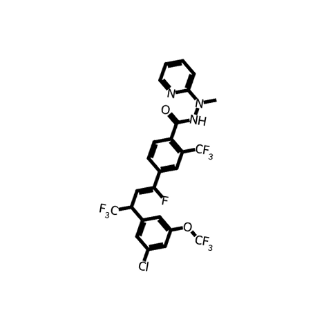 CN(NC(=O)c1ccc(C(F)=CC(c2cc(Cl)cc(OC(F)(F)F)c2)C(F)(F)F)cc1C(F)(F)F)c1ccccn1